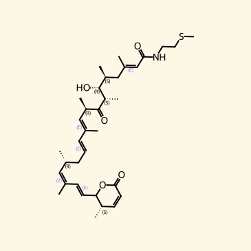 CSCCNC(=O)/C=C(\C)C[C@H](C)[C@@H](O)[C@H](C)C(=O)[C@H](C)/C=C(C)/C=C/C[C@@H](C)/C=C(C)\C=C\C1OC(=O)C=C[C@@H]1C